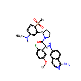 CCOc1ccc(F)c([C@H](Nc2ccc3c(N)nccc3c2)C(=O)N2CCC[C@@H]2c2cc(N(C)C(=O)O)ccc2S(=O)(=O)CC)c1